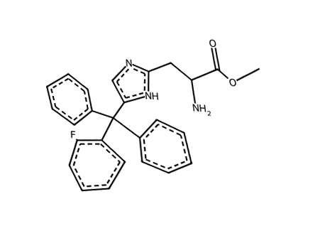 COC(=O)C(N)Cc1ncc(C(c2ccccc2)(c2ccccc2)c2ccccc2F)[nH]1